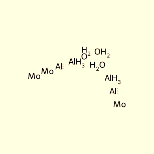 O.O.O.[AlH3].[AlH3].[Al].[Al].[Mo].[Mo].[Mo]